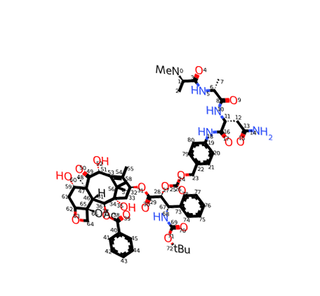 CN[C@H](C)C(=O)N[C@H](C)C(=O)N[C@H](CC(N)=O)C(=O)Nc1ccc(COC(=O)O[C@@H](C(=O)O[C@H]2C[C@@]3(O)[C@@H](OC(=O)c4ccccc4)[C@H]4[C@](C)(C(=O)[C@H](O)C(=C2C)C3(C)C)[C@@H](O)CC2OC[C@]24OC(C)=O)[C@@H](NC(=O)OC(C)(C)C)c2ccccc2)cc1